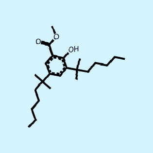 CCCCCC(C)(C)c1cc(C(=O)OC)c(O)c(C(C)(C)CCCCC)c1